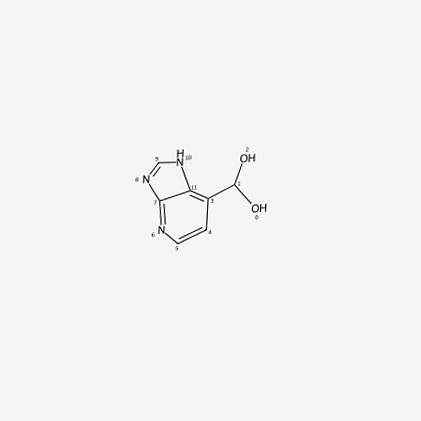 OC(O)c1ccnc2nc[nH]c12